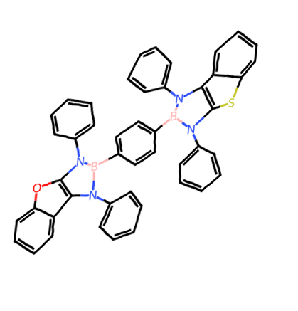 c1ccc(N2B(c3ccc(B4N(c5ccccc5)c5sc6ccccc6c5N4c4ccccc4)cc3)N(c3ccccc3)c3c2oc2ccccc32)cc1